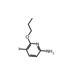 CCCOc1nc(N)ccc1I